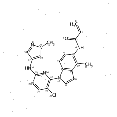 C=CC(=O)Nc1ccc2c(ccn2-c2nc(Nc3cnn(C)c3)ncc2Cl)c1C